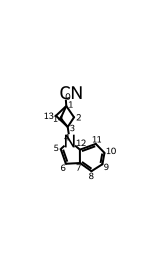 N#CC12CC(n3ccc4ccccc43)(C1)C2